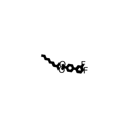 CCCCCC=CC1COC(C2CCC(c3ccc(F)c(F)c3)CC2)OC1